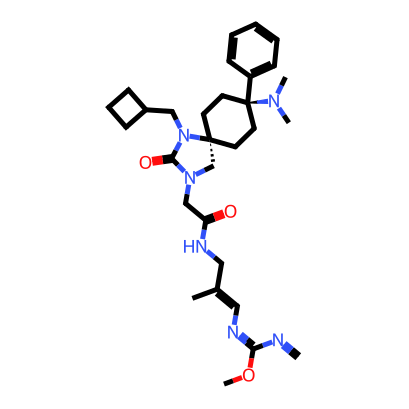 C=N/C(=N\C=C(/C)CNC(=O)CN1C[C@]2(CC[C@](c3ccccc3)(N(C)C)CC2)N(CC2CCC2)C1=O)OC